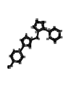 Clc1ccc(-c2csc(Sc3nnnn3-c3cccnc3)n2)cc1